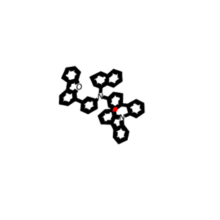 c1cc(-c2cccc3c2oc2ccccc23)cc(N(c2ccc(-c3ccccc3-n3c4ccccc4c4ccccc43)cc2)c2cccc3ccccc23)c1